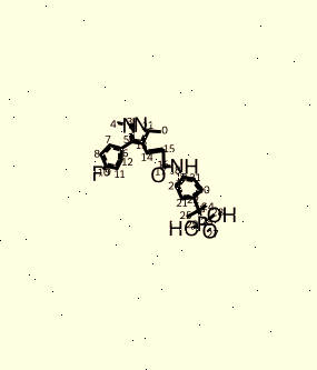 Cc1nn(C)c(-c2ccc(F)cc2)c1C=CC(=O)Nc1ccc(C(C)(C)P(=O)(O)O)cc1